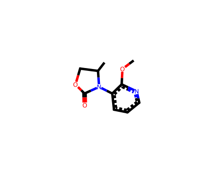 COc1ncccc1N1C(=O)OCC1C